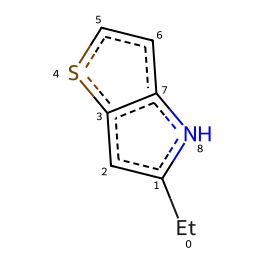 CCc1cc2sccc2[nH]1